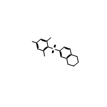 Cc1cc(O)cc(C)c1S(=O)(=O)c1ccc2c(c1)CCCC2